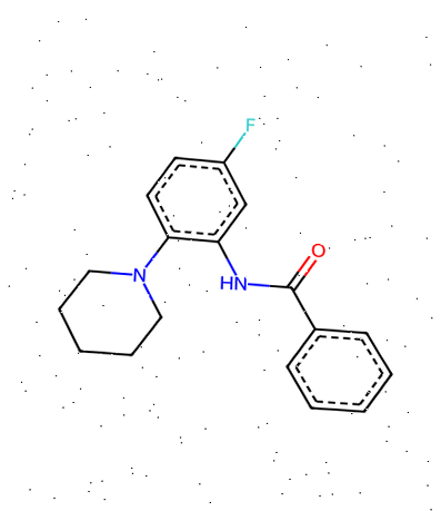 O=C(Nc1cc(F)ccc1N1CCCCC1)c1ccccc1